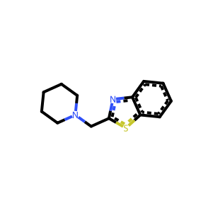 c1ccc2sc(CN3CCCCC3)nc2c1